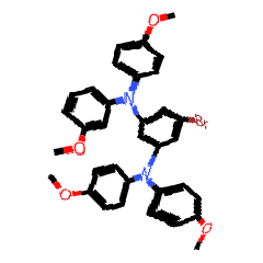 COc1ccc(N(c2ccc(OC)cc2)c2cc(Br)cc(N(c3ccc(OC)cc3)c3cccc(OC)c3)c2)cc1